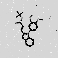 COc1ccc(-n2c(C=CC(=O)OC(C)(C)C)cc3ccccc32)cc1OC